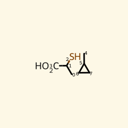 CC(S)C(=O)O.CC1CC1